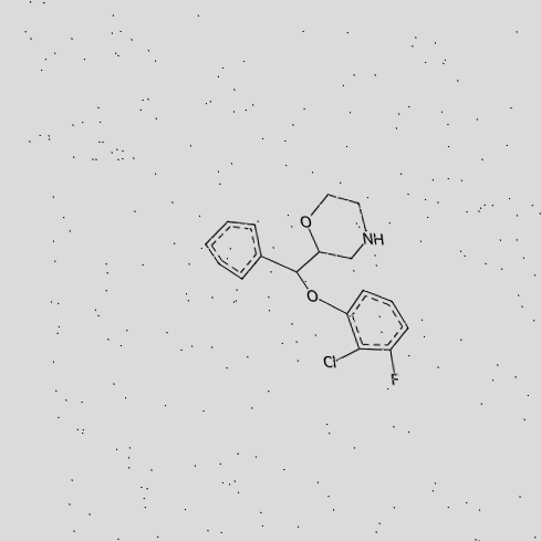 Fc1cccc(OC(c2ccccc2)C2CNCCO2)c1Cl